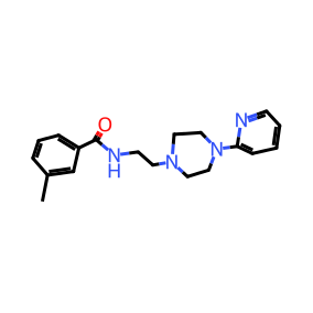 Cc1cccc(C(=O)NCCN2CCN(c3ccccn3)CC2)c1